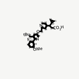 COc1ccc(F)c(-c2ncc(OCc3cc(C(CC(=O)O)C4CC4)ccn3)cc2CC(C)(C)C)c1